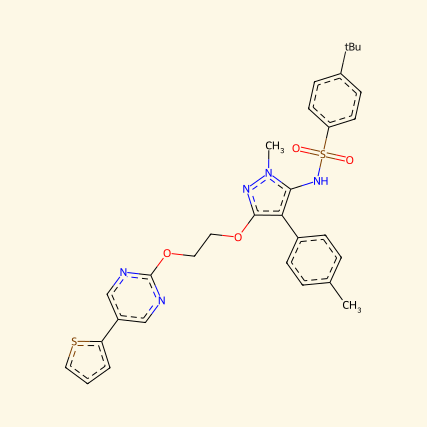 Cc1ccc(-c2c(OCCOc3ncc(-c4cccs4)cn3)nn(C)c2NS(=O)(=O)c2ccc(C(C)(C)C)cc2)cc1